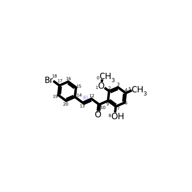 COc1cc(C)cc(O)c1C(=O)/C=C/c1ccc(Br)cc1